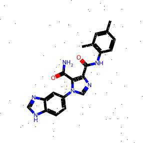 Cc1ccc(NC(=O)c2ncn(-c3ccc4[nH]cnc4c3)c2C(N)=O)c(C)c1